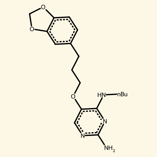 CCCCNc1nc(N)ncc1OCCCc1ccc2c(c1)OCO2